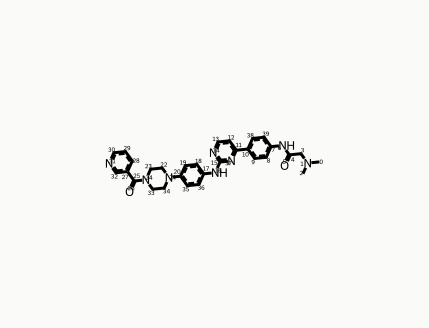 CN(C)CC(=O)Nc1ccc(-c2ccnc(Nc3ccc(N4CCN(C(=O)c5cccnc5)CC4)cc3)n2)cc1